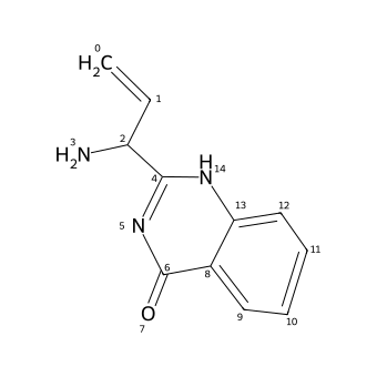 C=CC(N)c1nc(=O)c2ccccc2[nH]1